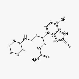 NC(=O)OCC(CCNC1CCCCC1)c1ccc(O)c2[nH]c(=O)sc12